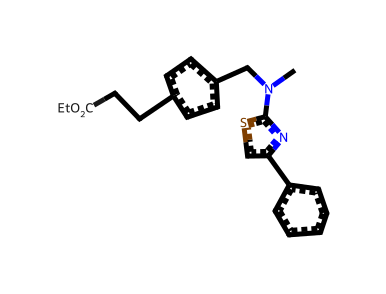 CCOC(=O)CCc1ccc(CN(C)c2nc(-c3ccccc3)cs2)cc1